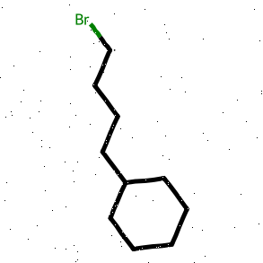 Br[CH]CCCC1CCCCC1